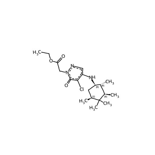 CCOC(=O)Cn1ncc(N[C@@H]2C[C@H](C)C(C)(C)[C@H](C)[C@H]2C)c(Cl)c1=O